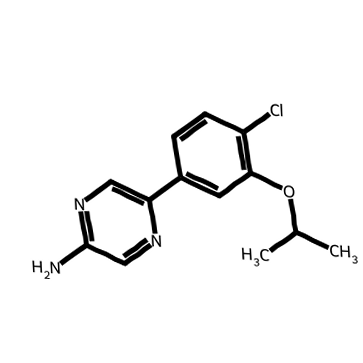 CC(C)Oc1cc(-c2cnc(N)cn2)ccc1Cl